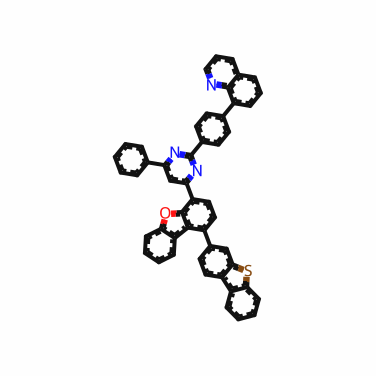 c1ccc(-c2cc(-c3ccc(-c4ccc5c(c4)sc4ccccc45)c4c3oc3ccccc34)nc(-c3ccc(-c4cccc5cccnc45)cc3)n2)cc1